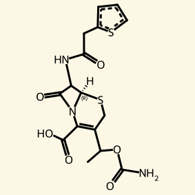 CC(OC(N)=O)C1=C(C(=O)O)N2C(=O)C(NC(=O)Cc3cccs3)[C@H]2SC1